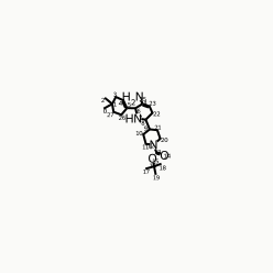 CC1(C)CC=C(C2NC(C3CCN(C(=O)OC(C)(C)C)CC3)CC=C2N)CC1